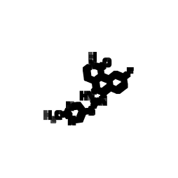 Cc1ncc(Sc2nc3c4ccc(F)cc4c4c(=O)[nH]ccc4c3[nH]2)cn1